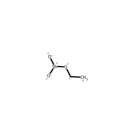 CC[O][Sb]([O-])[O-]